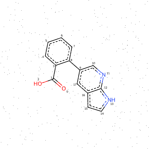 O=C(O)c1ccccc1-c1cnc2[nH]ccc2c1